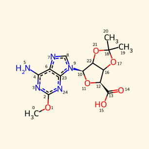 COc1nc(N)c2ncn([C@@H]3O[C@H](C(=O)O)C4OC(C)(C)OC43)c2n1